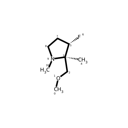 COC[C@]1(C)[C@@H](F)CCN1C